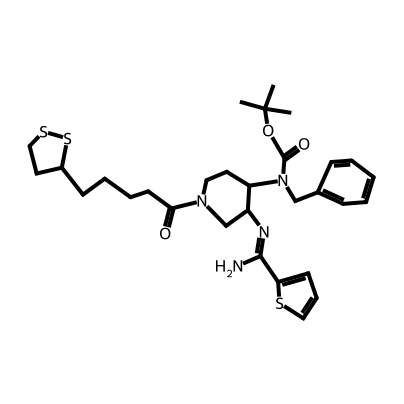 CC(C)(C)OC(=O)N(Cc1ccccc1)C1CCN(C(=O)CCCCC2CCSS2)CC1N=C(N)c1cccs1